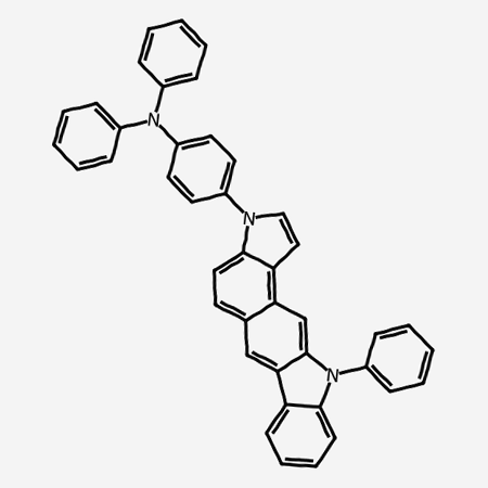 c1ccc(N(c2ccccc2)c2ccc(-n3ccc4c5cc6c(cc5ccc43)c3ccccc3n6-c3ccccc3)cc2)cc1